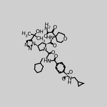 CC(C)(O)c1cnnn1[C@H]1C[C@@H](C(=O)NC2(C(=O)C(N)=O)CCOCC2)N(C(=O)[C@@H](CC2CCCCC2)NC(=O)c2ccc(S(=O)(=O)NCC3CC3)cc2)C1